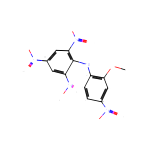 COc1cc([N+](=O)[O-])ccc1Nc1c([N+](=O)[O-])cc([N+](=O)[O-])cc1[N+](=O)[O-]